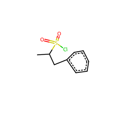 CC(Cc1ccccc1)S(=O)(=O)Cl